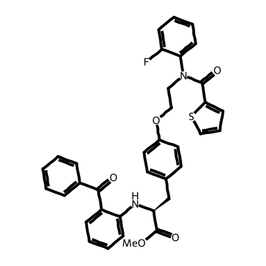 COC(=O)[C@H](Cc1ccc(OCCN(C(=O)c2cccs2)c2ccccc2F)cc1)Nc1ccccc1C(=O)c1ccccc1